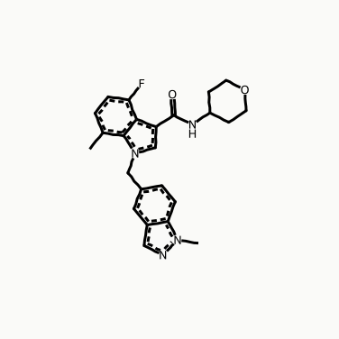 Cc1ccc(F)c2c(C(=O)NC3CCOCC3)cn(Cc3ccc4c(cnn4C)c3)c12